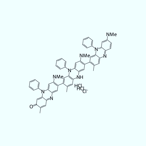 CNc1ccc2nc3cc(C)c(-c4cc5c(cc4NC)N(c4ccccc4)c4cc(-c6cc7nc8cc(C)c(=O)cc-8n(-c8ccccc8)c7cc6NC)c(C)cc4N5)cc3[n+](-c3ccccc3)c2c1.Cl.Cl.[Cl-]